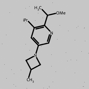 COC(C)c1ncc(N2CC(C)C2)cc1C(C)C